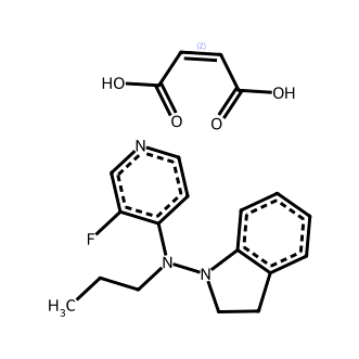 CCCN(c1ccncc1F)N1CCc2ccccc21.O=C(O)/C=C\C(=O)O